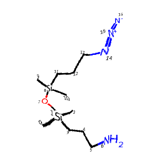 C[Si](C)(CCCN)O[Si](C)(C)CCCN=[N+]=[N-]